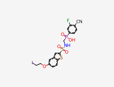 N#Cc1ccc(P(=O)(O)CNS(=O)(=O)c2cc3cc(OCCI)ccc3s2)cc1F